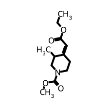 CCOC(=O)/C=C1/CCN(C(=O)OC)CC1C